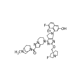 CCc1c(F)ccc2cc(O)cc(N3CCc4c(nc(OC[C@@]56CCCN5C[C@H](F)C6)nc4N4CCCn5nc(C(=O)N6CCC7CC6CN7C)cc5C4)C3)c12